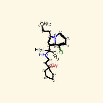 COCCc1cc(C(C)(C)NCCC2(O)CCCC2)c2c(Cl)cccn12